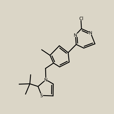 Cc1cc(-c2ccnc(Cl)n2)ccc1CN1C=CSC1C(C)(C)C